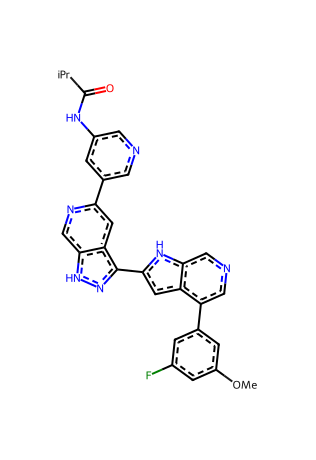 COc1cc(F)cc(-c2cncc3[nH]c(-c4n[nH]c5cnc(-c6cncc(NC(=O)C(C)C)c6)cc45)cc23)c1